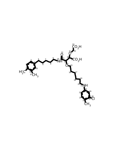 Cc1ccc(CCCCCNC(=O)C(OCCCCCCNc2ccc(C)c(Cl)c2)C(OCC(=O)O)C(=O)O)cc1C